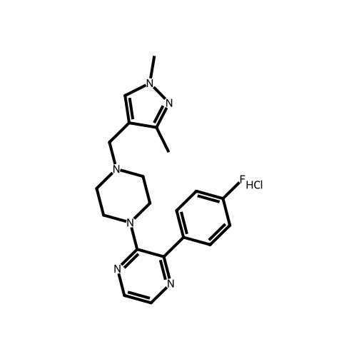 Cc1nn(C)cc1CN1CCN(c2nccnc2-c2ccc(F)cc2)CC1.Cl